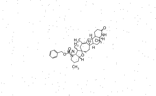 CC1=C2C[C@H]3[C@@H](CC[C@H]4NC(=O)CC[C@@]43C)[C@@H]2CC[C@@]2(C1)O[C@@H]1C[C@H](C)CN(C(=O)OCc3ccccc3)[C@@]1(N)[C@H]2C